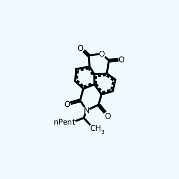 CCCCCC(C)N1C(=O)c2ccc3c4c(ccc(c24)C1=O)C(=O)OC3=O